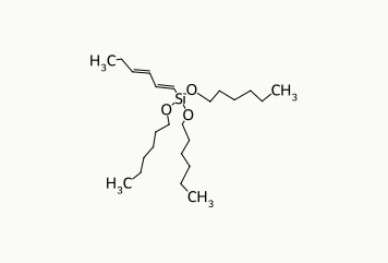 CCC=CC=C[Si](OCCCCCC)(OCCCCCC)OCCCCCC